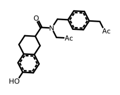 CC(=O)Cc1ccc(CN(CC(C)=O)C(=O)C2CCc3cc(O)ccc3C2)cc1